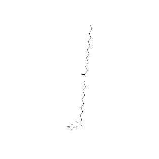 CCCCCCCCCCCCC(=O)OCCCCCCCCCC[N+](C)(C)CS(C)(=O)=O